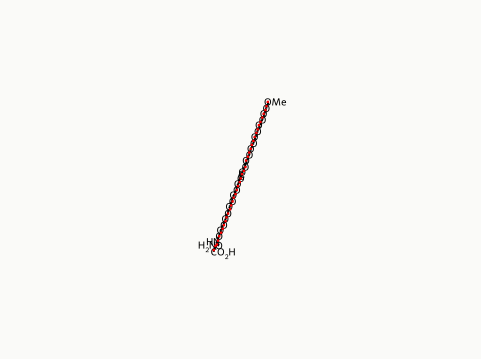 COCCOCCOCCOCCOCCOCCOCCOCCOCCOCCOCCOCCOCCOCCOCCOCCOCCOCCOCCOCCOCCOCCOCCOCCNC(=O)C(N)CCC(=O)O